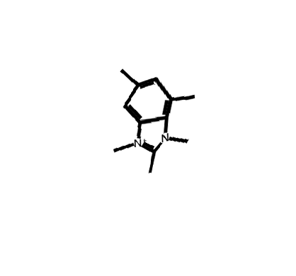 Cc1cc(C)c2c(c1)[n+](C)c(C)n2C